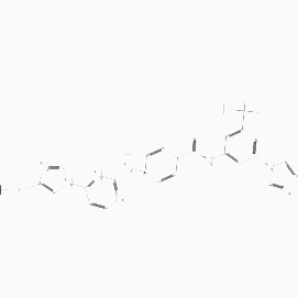 Cc1cn(-c2ccnc(NC3(C)C=CC(C(=O)Nc4cc(-n5ccnc5C)cc(C(F)(F)F)c4)C=C3)n2)cn1